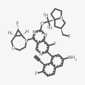 [2H]C([2H])(Oc1nc(N2CCOC[C@H]3[C@H](F)[C@H]32)c2cnc(-c3cc(N)cc4ccc(F)c(C#C)c34)c(F)c2n1)[C@@]12CCCN1C[C@@H](CF)C2